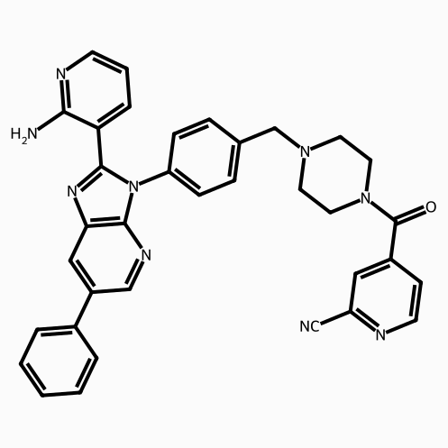 N#Cc1cc(C(=O)N2CCN(Cc3ccc(-n4c(-c5cccnc5N)nc5cc(-c6ccccc6)cnc54)cc3)CC2)ccn1